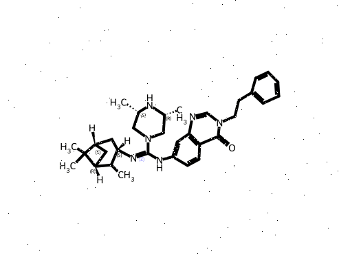 CC1[C@@H](/N=C(/Nc2ccc3c(=O)n(CCc4ccccc4)cnc3c2)N2C[C@@H](C)N[C@@H](C)C2)C[C@@H]2C[C@H]1C2(C)C